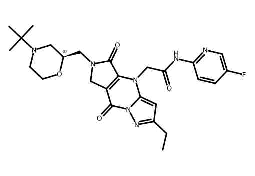 CCc1cc2n(CC(=O)Nc3ccc(F)cn3)c3c(c(=O)n2n1)CN(C[C@@H]1CN(C(C)(C)C)CCO1)C3=O